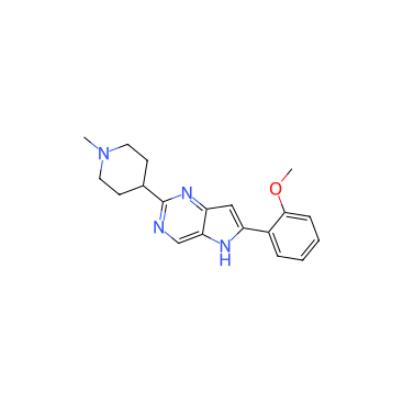 COc1ccccc1-c1cc2nc(C3CCN(C)CC3)ncc2[nH]1